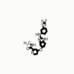 CNC(=O)c1cc(Oc2ccc3[nH]c(Nc4cccc(SC(F)(F)F)c4)nc3c2)ccn1